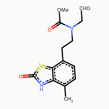 COC(=O)N(CC=O)CCc1ccc(C)c2[nH]c(=O)sc12